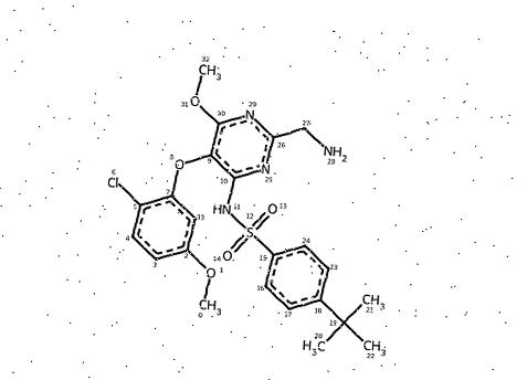 COc1ccc(Cl)c(Oc2c(NS(=O)(=O)c3ccc(C(C)(C)C)cc3)nc(CN)nc2OC)c1